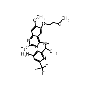 COCCOc1cc2c(NC(C)c3cc(N)cc(C(F)(F)F)n3)nc(C)nc2cc1OC